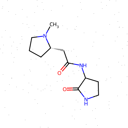 CN1CCC[C@H]1CC(=O)NC1CCNC1=O